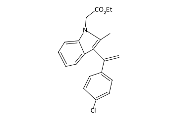 C=C(c1ccc(Cl)cc1)c1c(C)n(CC(=O)OCC)c2ccccc12